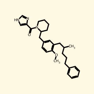 COc1ccc(CC2CCCCN2C(=O)c2c[nH]cn2)cc1CC(C)CCCc1ccccc1